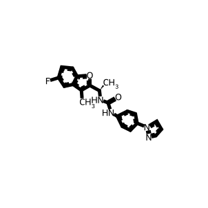 Cc1c([C@H](C)NC(=O)Nc2ccc(-n3cccn3)cc2)oc2ccc(F)cc12